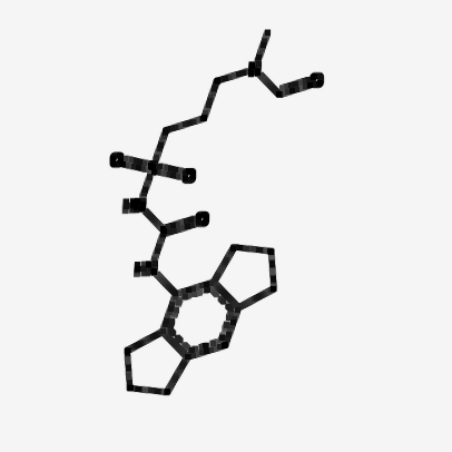 CN(C=O)CCCS(=O)(=O)NC(=O)Nc1c2c(cc3c1CCC3)CCC2